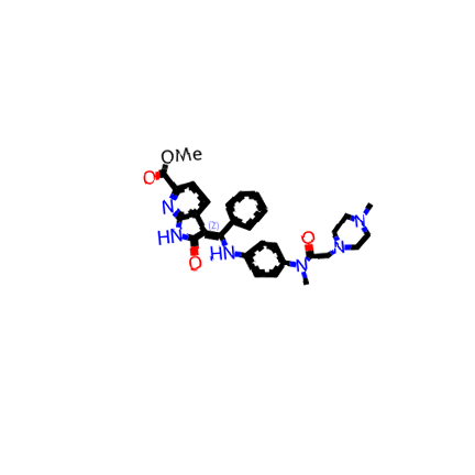 COC(=O)c1ccc2c(n1)NC(=O)/C2=C(\Nc1ccc(N(C)C(=O)CN2CCN(C)CC2)cc1)c1ccccc1